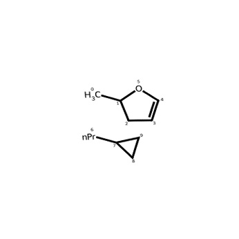 CC1CC=CO1.CCCC1CC1